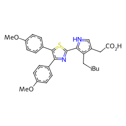 CCC(C)Cc1c(CC(=O)O)c[nH]c1-c1nc(-c2ccc(OC)cc2)c(-c2ccc(OC)cc2)s1